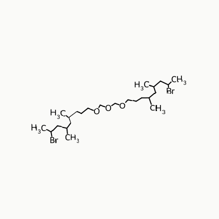 CC(Br)CC(C)CC(C)CCCOCOCOCCCC(C)CC(C)CC(C)Br